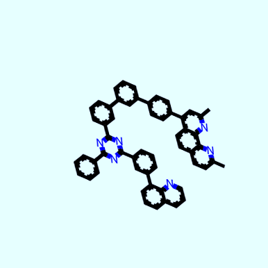 Cc1ccc2ccc3c(-c4ccc(-c5cccc(-c6cccc(-c7nc(-c8ccccc8)nc(-c8cccc(-c9cccc%10cccnc9%10)c8)n7)c6)c5)cc4)cc(C)nc3c2n1